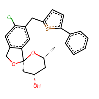 C[C@@H]1C[C@H](O)C[C@@]2(OCc3cc(Cl)c(Cc4ccc(-c5ccccc5)s4)cc32)O1